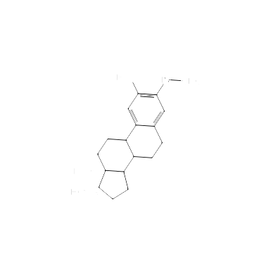 Cc1cc2c(cc1NC=O)CCC1C2CC[C@@]2(C)C1CC[C@@H]2O